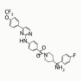 N[C@@H](c1ccc(F)cc1)C1CCN(S(=O)(=O)c2ccc(Nc3nccc(-c4ccc(OC(F)(F)F)cc4)n3)cc2)CC1